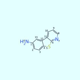 Nc1ccc2sc3ncccc3c2c1